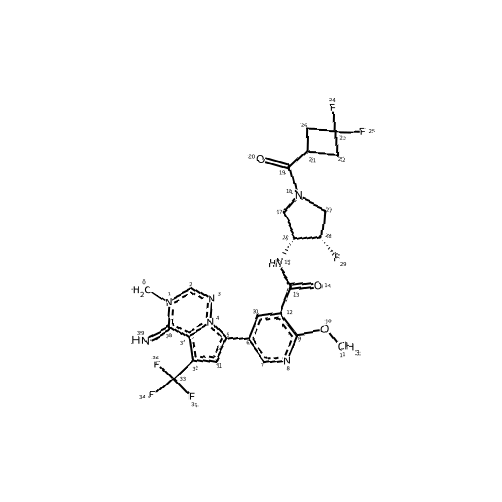 [CH2]n1cnn2c(-c3cnc(OC)c(C(=O)N[C@@H]4CN(C(=O)C5CC(F)(F)C5)C[C@@H]4F)c3)cc(C(F)(F)F)c2c1=N